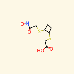 O=NC(=O)CSC1CCC1SCC(=O)O